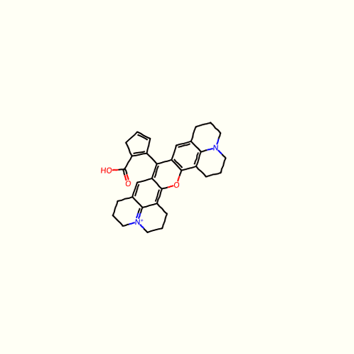 O=C(O)C1=C(C2=c3cc4c5c(c3Oc3c2cc2c6c3CCCN6CCC2)CCC[N+]=5CCC4)C=CC1